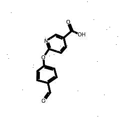 O=Cc1ccc(Oc2ccc(C(=O)O)cn2)cc1